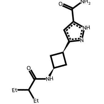 CCC(CC)C(=O)N[C@H]1C[C@@H](c2cc(C(N)=O)[nH]n2)C1